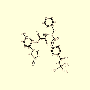 CC(C)(C)OC(=O)c1ccc(NC(=O)[C@H](Cc2ccccc2)NC(=O)C(=O)Nc2cc(Cl)ccc2C2CC[C@@H](O)C2)cc1